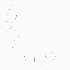 O=[N+]([O-])c1ccc(OC2CCC(OCC(=S)N3CCN(c4ccc(C(F)(F)F)cn4)CC3)CC2)cc1C(F)(F)F